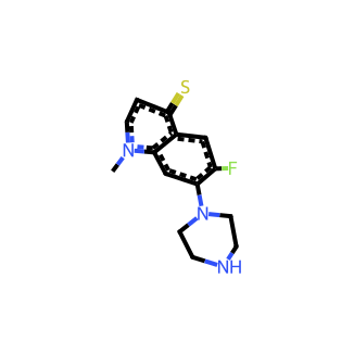 Cn1ccc(=S)c2cc(F)c(N3CCNCC3)cc21